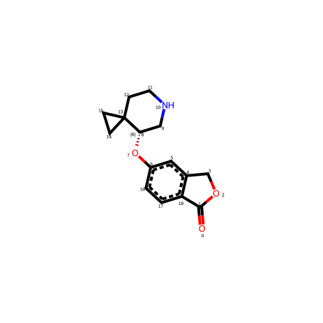 O=C1OCc2cc(O[C@H]3CNCCC34CC4)ccc21